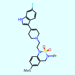 CSc1ccc2c(c1)CN(C(C)C)S(=O)(=O)N2CCN1CC=C(c2c[nH]c3cc(F)ccc23)CC1